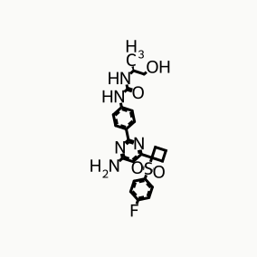 C[C@@H](CO)NC(=O)Nc1ccc(-c2nc(N)cc(C3(S(=O)(=O)c4ccc(F)cc4)CCC3)n2)cc1